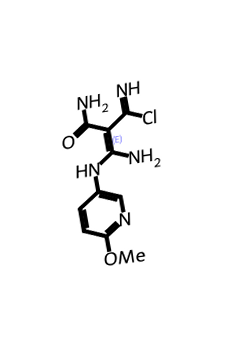 COc1ccc(N/C(N)=C(/C(=N)Cl)C(N)=O)cn1